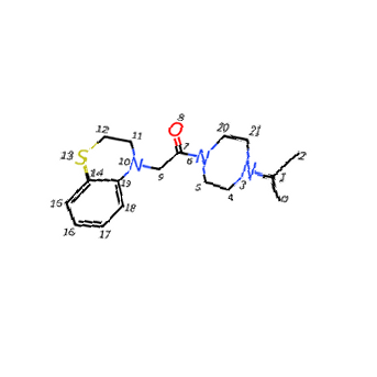 CC(C)N1CCN(C(=O)CN2CCSc3ccccc32)CC1